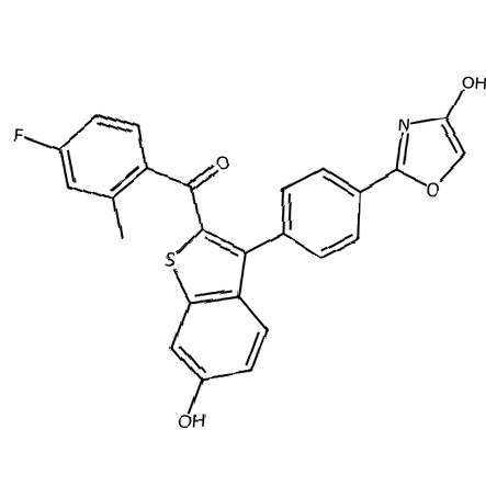 Cc1cc(F)ccc1C(=O)c1sc2cc(O)ccc2c1-c1ccc(-c2nc(O)co2)cc1